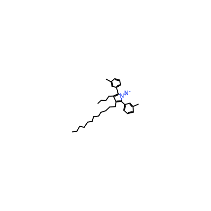 CCCCCCCCCCCCC1=C(c2cccc(C)c2)[N+](=[N-])C(c2cccc(C)c2)=C1CCCC